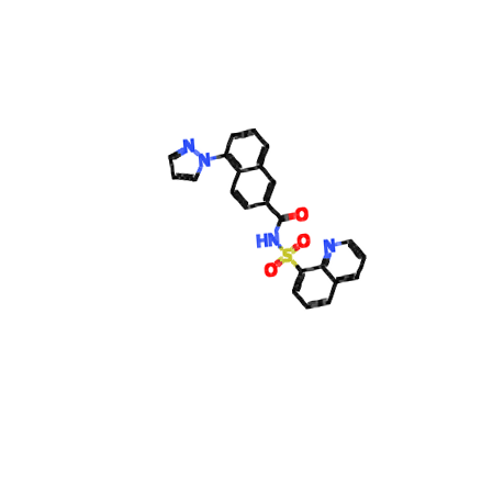 O=C(NS(=O)(=O)c1cccc2cccnc12)c1ccc2c(-n3cccn3)cccc2c1